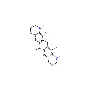 CC1=c2cc3c(c(C)c2Cc2c1cc1c(c2C)N(C)CCC1)=[N+](C)CCC3